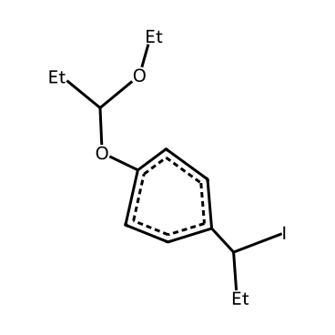 CCOC(CC)Oc1ccc(C(I)CC)cc1